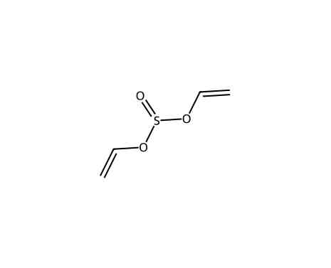 C=COS(=O)OC=C